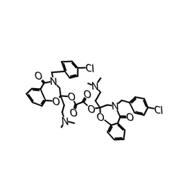 CN(C)CCC1(OC(=O)C(=O)OC2(CCN(C)C)CN(Cc3ccc(Cl)cc3)C(=O)c3ccccc3O2)CN(Cc2ccc(Cl)cc2)C(=O)c2ccccc2O1